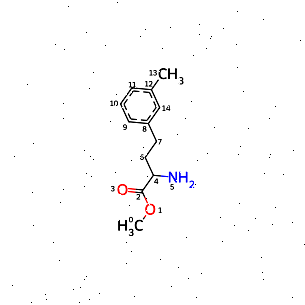 COC(=O)C(N)CCc1cccc(C)c1